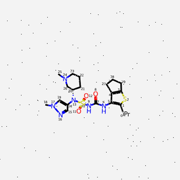 CC(C)c1sc2c(c1NC(=O)NS(=O)(=O)N(c1cnn(C)c1)[C@H]1CCCN(C)C1)CCC2